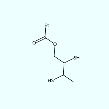 CCC(=O)OCC(S)C(C)S